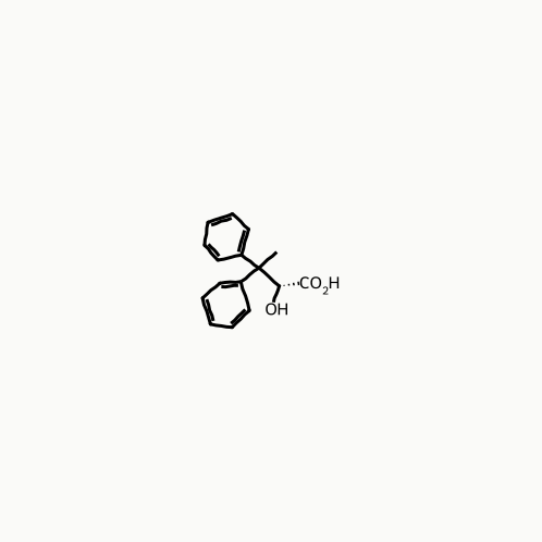 CC(c1ccccc1)(c1ccccc1)[C@@H](O)C(=O)O